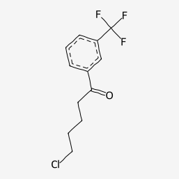 O=C(CCCCCl)c1cccc(C(F)(F)F)c1